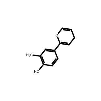 Cc1cc(C2=CCC=CO2)ccc1O